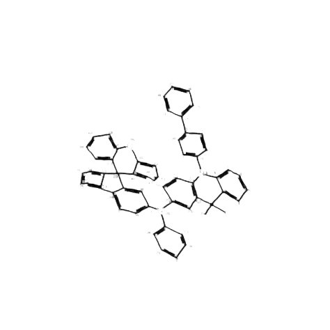 CC1(C)c2ccccc2N(c2ccc(-c3ccccc3)cc2)c2ccc(N(c3ccccc3)c3ccc4c(c3)C3(c5ccccc5Oc5ccccc53)c3ccccc3-4)cc21